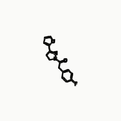 O=C(Cc1ccc(F)cc1)N1CCC(c2ccco2)=N1